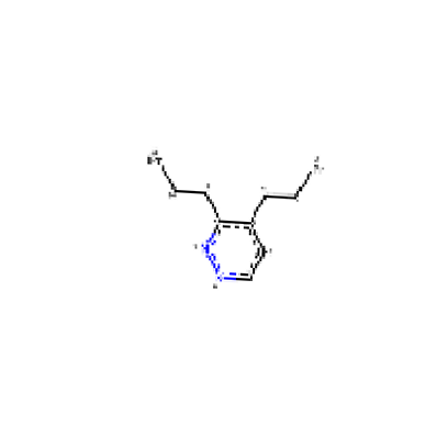 CC(C)CCc1ccnnc1CCC(C)C